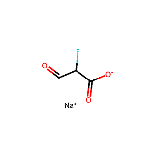 O=CC(F)C(=O)[O-].[Na+]